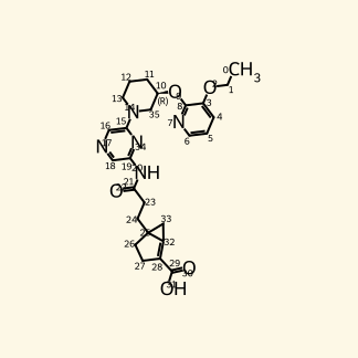 CCOc1cccnc1O[C@@H]1CCCN(c2cncc(NC(=O)CCC34CCC(C(=O)O)=C3C4)n2)C1